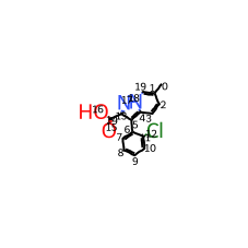 Cc1ccc2c(-c3ccccc3Cl)c(C(=O)O)nn2c1